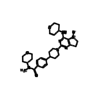 CN(C(=O)c1ccc(C2CCN(c3nc4c(c(NC5CCOCC5)n3)[S+]([O-])CC4)CC2)cc1)C1CCOCC1